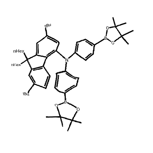 CCCCCCC1(CCCCCC)c2cc(C(C)(C)C)ccc2-c2c(N(c3ccc(B4OC(C)(C)C(C)(C)O4)cc3)c3ccc(B4OC(C)(C)C(C)(C)O4)cc3)cc(C(C)(C)C)cc21